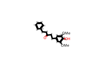 COc1cc(CCC(=O)CCc2ccccc2)cc(OC)c1O